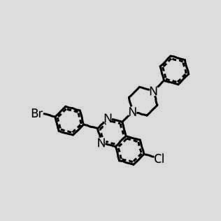 Clc1ccc2nc(-c3ccc(Br)cc3)nc(N3CCN(c4ccccc4)CC3)c2c1